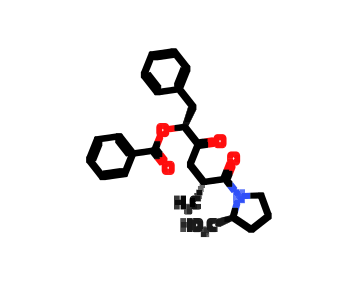 C[C@H](CC(=O)[C@H](Cc1ccccc1)OC(=O)c1ccccc1)C(=O)N1CCC[C@H]1C(=O)O